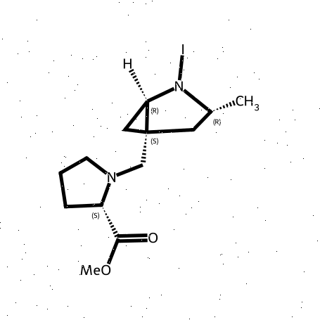 COC(=O)[C@@H]1CCCN1C[C@@]12C[C@@H](C)N(I)[C@@H]1C2